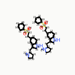 CN1CCCC1Cc1c[nH]c2ccc(CCS(=O)(=O)c3ccccc3)cc12.CN1CCC[C@@H]1Cc1c[nH]c2ccc(CCS(=O)(=O)c3ccccc3)cc12